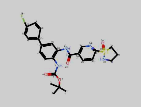 CC(C)(C)OC(=O)Nc1ccc(-c2ccc(F)cc2)cc1NC(=O)c1ccc([SH]2(=O)CCCN2)nc1